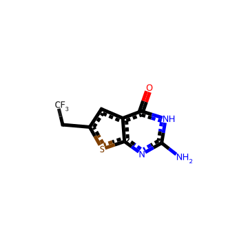 Nc1nc2sc(CC(F)(F)F)cc2c(=O)[nH]1